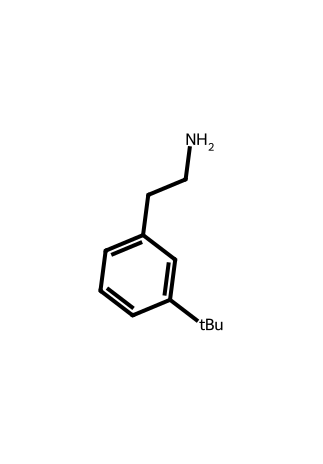 CC(C)(C)c1cccc(CCN)c1